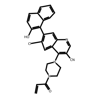 C=CC(=O)N1CCN(c2c(C#N)cnc3cc(-c4c(O)ccc5ccccc45)c(Cl)cc23)CC1